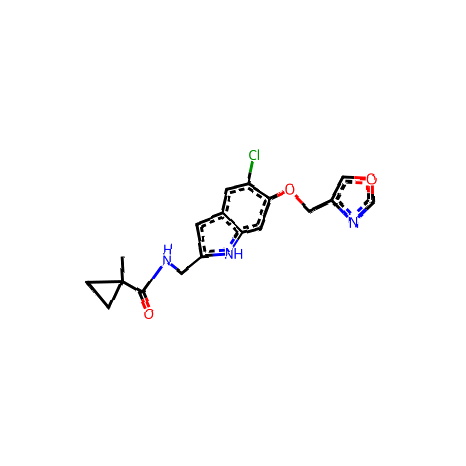 CC1(C(=O)NCc2cc3cc(Cl)c(OCc4cocn4)cc3[nH]2)CC1